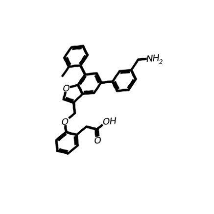 Cc1ccccc1-c1cc(-c2cccc(CN)c2)cc2c(COc3ccccc3CC(=O)O)coc12